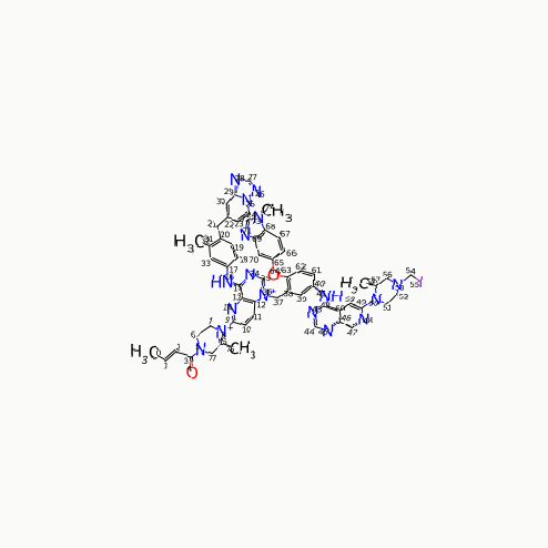 C/C=C/C(=O)N1CC[N+](c2ccc3c(n2)c(Nc2ccc(Cc4ccn5ncnc5c4)c(C)c2)nc[n+]3Cc2cc(Nc3ncnc4cnc(N5CCN(CI)C[C@@H]5C)cc34)ccc2Oc2ccc3c(c2)ncn3C)=C(C)C1